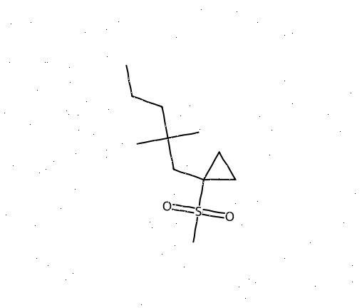 CCCC(C)(C)CC1(S(C)(=O)=O)CC1